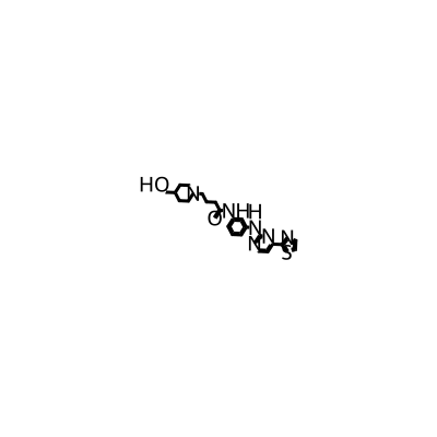 O=C(CCCN1CCC(CO)CC1)Nc1cccc(Nc2nccc(-c3nccs3)n2)c1